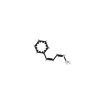 C/N=C\C=C/c1ccccc1